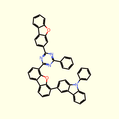 c1ccc(-c2nc(-c3ccc4c(c3)oc3ccccc34)nc(-c3cccc4c3oc3c(-c5ccc6c(c5)c5ccccc5n6-c5ccccc5)cccc34)n2)cc1